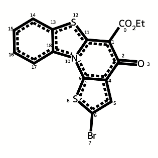 CCOC(=O)c1c(=O)c2cc(Br)sc2n2c1sc1ccccc12